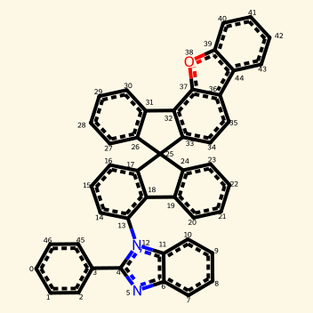 c1ccc(-c2nc3ccccc3n2-c2cccc3c2-c2ccccc2C32c3ccccc3-c3c2ccc2c3oc3ccccc32)cc1